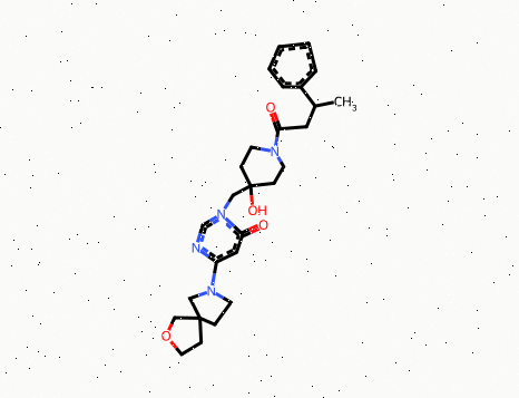 CC(CC(=O)N1CCC(O)(Cn2cnc(N3CCC4(CCOC4)C3)cc2=O)CC1)c1ccccc1